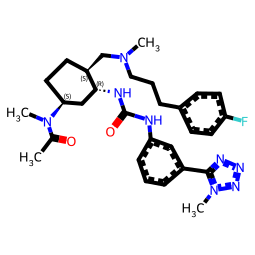 CC(=O)N(C)[C@H]1CC[C@@H](CN(C)CCCc2ccc(F)cc2)[C@H](NC(=O)Nc2cccc(-c3nnnn3C)c2)C1